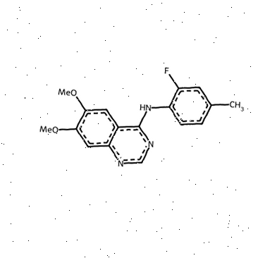 COc1cc2ncnc(Nc3ccc(C)cc3F)c2cc1OC